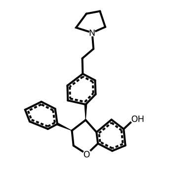 Oc1ccc2c(c1)[C@H](c1ccc(CCN3CCCC3)cc1)[C@H](c1ccccc1)CO2